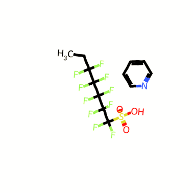 CCC(F)(F)C(F)(F)C(F)(F)C(F)(F)C(F)(F)S(=O)(=O)O.c1ccncc1